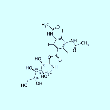 CNC(OC(=O)c1c(I)c(NC(C)=O)c(I)c(NC(C)=O)c1I)[C@H](O)[C@@H](O)[C@H](O)[C@H](O)CO